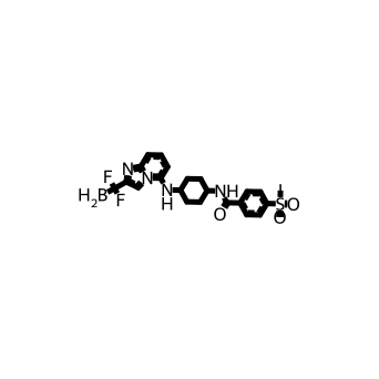 BC(F)(F)c1cn2c(NC3CCC(NC(=O)c4ccc(S(=O)(=O)I)cc4)CC3)cccc2n1